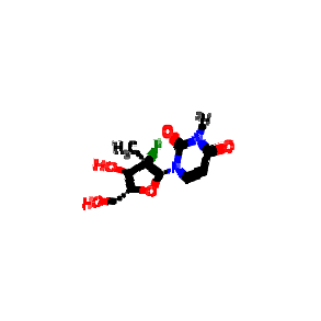 [2H]n1c(=O)ccn([C@@H]2O[C@H](CO)[C@@H](O)[C@@]2(C)F)c1=O